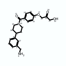 NCc1cccc(C2CCN(C(=O)c3ccc(OCC(=O)CO)cc3)CC2)c1